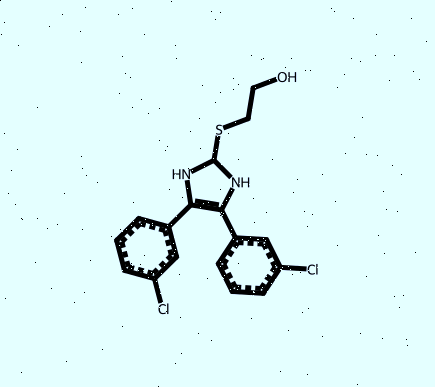 OCCSC1NC(c2cccc(Cl)c2)=C(c2cccc(Cl)c2)N1